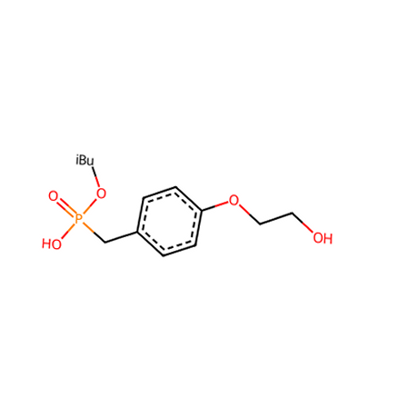 CCC(C)OP(=O)(O)Cc1ccc(OCCO)cc1